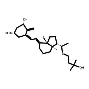 C=C1/C(=C\C=C2/CCC[C@]3(C)[C@@H](C(C)SCCC(C)(C)O)CC[C@@H]23)C[C@@H](O)C[C@@H]1O